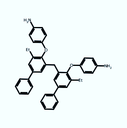 CCc1cc(-c2ccccc2)cc(Cc2cc(-c3ccccc3)cc(CC)c2Oc2ccc(N)cc2)c1Oc1ccc(N)cc1